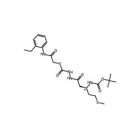 CCc1ccccc1NC(=O)CSC(=O)NNC(=O)C[C@H](CCSC)NC(=O)OC(C)(C)C